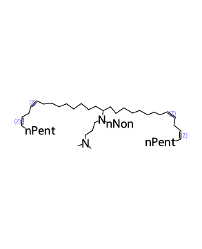 CCCCC/C=C\C/C=C\CCCCCCCCC(CCCCCCCC/C=C\C/C=C\CCCCC)N(CCCCCCCCC)CCCN(C)C